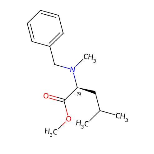 COC(=O)[C@H](CC(C)C)N(C)Cc1ccccc1